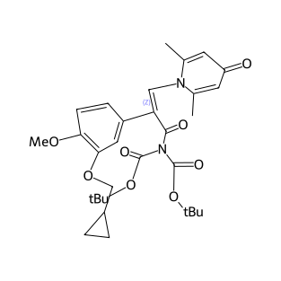 COc1ccc(/C(=C/n2c(C)cc(=O)cc2C)C(=O)N(C(=O)OC(C)(C)C)C(=O)OC(C)(C)C)cc1OCC1CC1